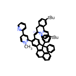 C[n+]1ccc(-c2ccccn2)cc1-c1cc2c(cc1/C=C1/Cc3ccc(C(C)(C)C)cc3-c3cc(C(C)(C)C)cc[n+]31)C(c1ccccc1)(c1ccccc1)c1c-2ccc2ccccc12